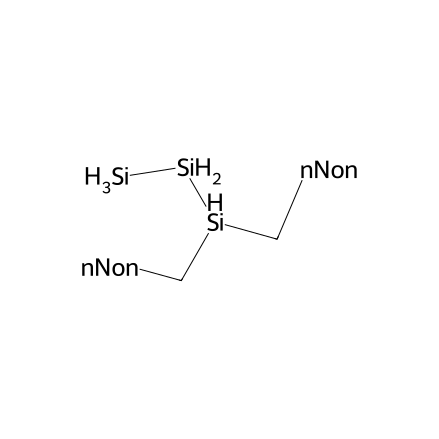 CCCCCCCCCC[SiH](CCCCCCCCCC)[SiH2][SiH3]